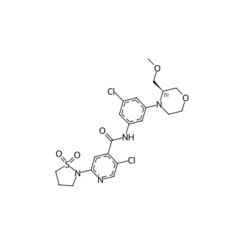 COC[C@H]1COCCN1c1cc(Cl)cc(NC(=O)c2cc(N3CCCS3(=O)=O)ncc2Cl)c1